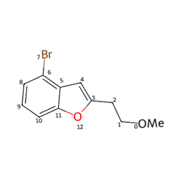 COCCc1cc2c(Br)cccc2o1